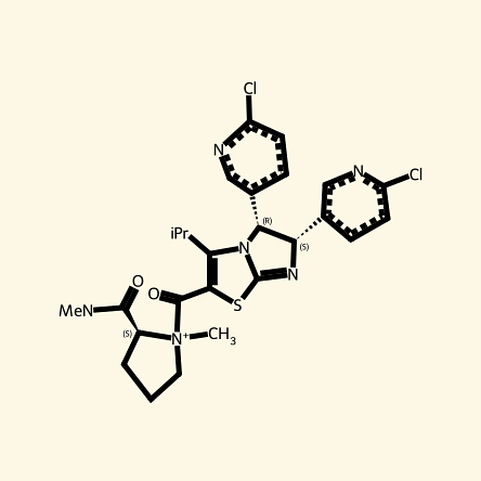 CNC(=O)[C@@H]1CCC[N+]1(C)C(=O)C1=C(C(C)C)N2C(=N[C@@H](c3ccc(Cl)nc3)[C@H]2c2ccc(Cl)nc2)S1